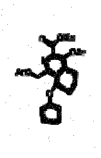 COC(=O)c1nc(COC(C)=O)c2c(Oc3ccccc3)cccc2c1OC(C)=O